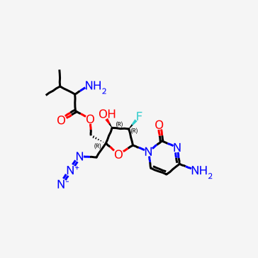 CC(C)C(N)C(=O)OC[C@@]1(CN=[N+]=[N-])OC(n2ccc(N)nc2=O)[C@H](F)[C@@H]1O